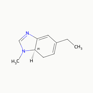 CCC1=CC[C@@H]2C(=C1)N=CN2C